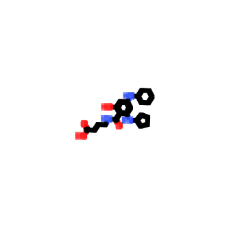 O=C(O)CCCNC(=O)c1c(O)cc(NC2CCCCC2)cc1NC1CCCC1